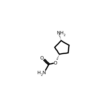 NC(=O)O[C@H]1CC[C@@H](N)C1